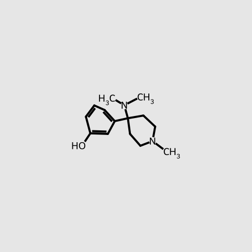 CN1CCC(c2cccc(O)c2)(N(C)C)CC1